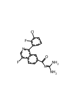 NC(N)=NC(=O)c1ccc2c(F)cnc(-c3cccc(Cl)c3F)c2c1